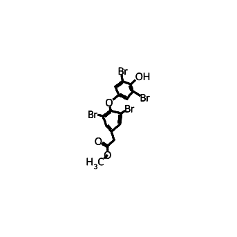 COC(=O)Cc1cc(Br)c(Oc2cc(Br)c(O)c(Br)c2)c(Br)c1